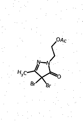 CC(=O)OCCN1N=C(C)C(Br)(Br)C1=O